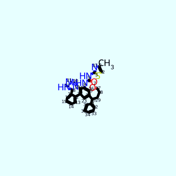 Cc1csc(NC(=O)Nc2cc(-c3ccccc3-c3nnn[nH]3)cc3c2OCCCC3c2ccccc2)n1